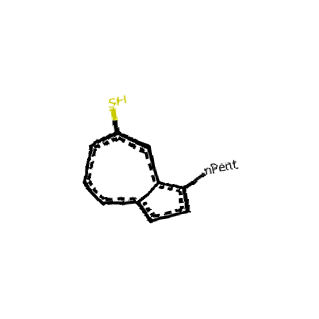 CCCCCc1ccc2cccc(S)cc1-2